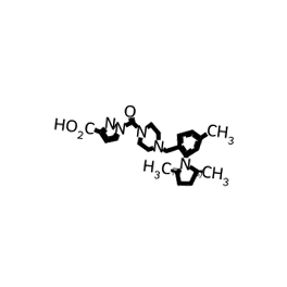 Cc1ccc(CN2CCN(C(=O)n3ccc(C(=O)O)n3)CC2)c(N2[C@H](C)CC[C@@H]2C)c1